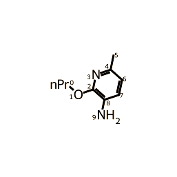 CCCOc1nc(C)ccc1N